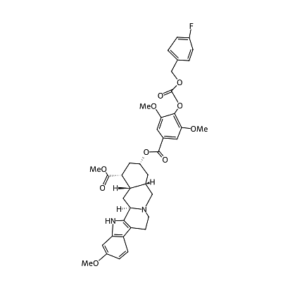 COC(=O)[C@@H]1C[C@H](OC(=O)c2cc(OC)c(OC(=O)OCc3ccc(F)cc3)c(OC)c2)C[C@@H]2CN3CCc4c([nH]c5cc(OC)ccc45)[C@H]3C[C@@H]21